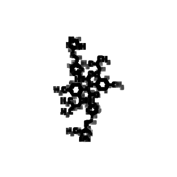 Cc1ccc(N(C(=O)Nc2ncc(CSc3nnc[nH]3)s2)N(C(=O)Nc2ncc(CSc3nnnn3C)s2)c2ccc(C)cc2OCC(C)C)c(OCC(C)C)c1